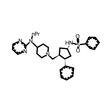 CCCN(c1ncccn1)C1CCN(C[C@H]2C[C@H](NS(=O)(=O)c3ccccc3)C[C@@H]2c2ccccc2)CC1